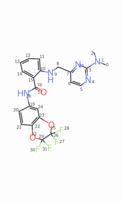 CN(C)c1nccc(CNc2ccccc2C(=O)Nc2ccc3c(c2)OC(F)(F)C(F)(F)O3)n1